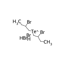 Br.Br.CCC(Br)C[Te+]CC(Br)CC